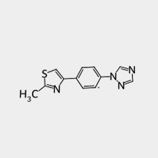 Cc1nc(-c2c[c]c(-n3cncn3)cc2)cs1